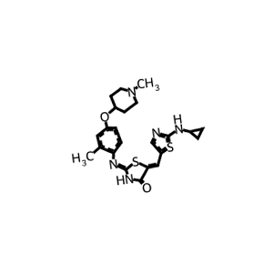 Cc1cc(OC2CCN(C)CC2)ccc1/N=C1/NC(=O)/C(=C/c2cnc(NC3CC3)s2)S1